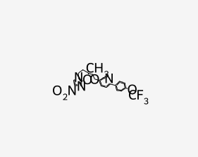 CC1(COc2ccc(-c3ccc(OC(F)(F)F)cc3)nc2)CCn2cc([N+](=O)[O-])nc2O1